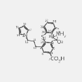 NS(=O)(=O)c1cc(C(=O)O)cc(CCCn2cccc2)c1Sc1ccccc1